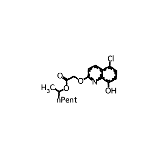 CCCCCC(C)OC(=O)COc1ccc2c(Cl)ccc(O)c2n1